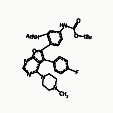 CC(=O)Nc1cc(NC(=O)OC(C)(C)C)ccc1-c1oc2ncnc(N3CCN(C)CC3)c2c1-c1ccc(F)cc1